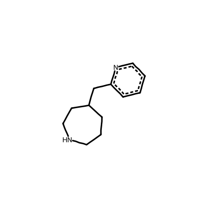 c1ccc(CC2CCCNCC2)nc1